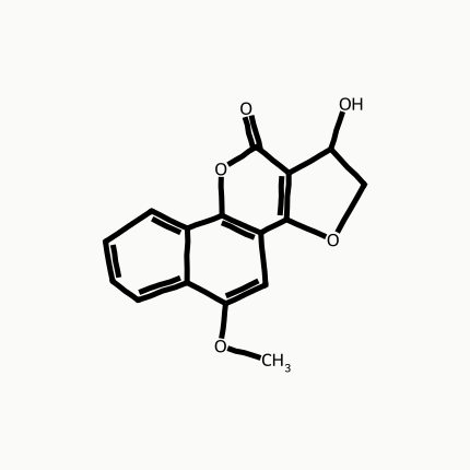 COc1cc2c3c(c(=O)oc2c2ccccc12)C(O)CO3